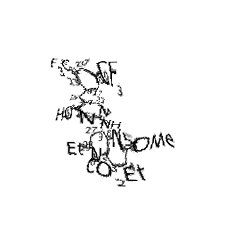 CCOC(=O)N1c2ccc(OC)nc2[C@@H](Nc2ncc(Cc3cc(C(F)(F)F)cc(C(F)(F)F)c3)c(O)n2)C[C@H]1CC